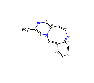 O=C(O)c1cn2cc3ccccc3nccc-2c[nH]1